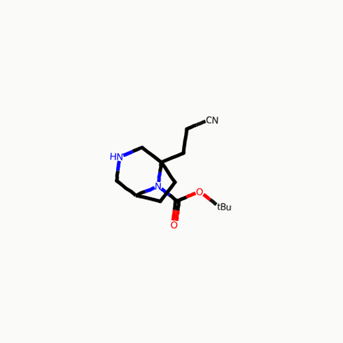 CC(C)(C)OC(=O)N1C2CCC1(CCC#N)CNC2